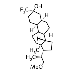 C=C(COC)[C@H]1CC[C@H]2[C@@H]3CC[C@@H]4C[C@@](O)(C(F)(F)F)CC[C@@H]4C3CC[C@]12C